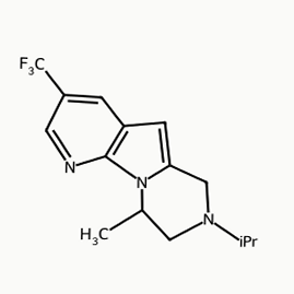 CC(C)N1Cc2cc3cc(C(F)(F)F)cnc3n2C(C)C1